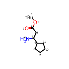 CC(C)(C)OC(=O)C[C@H](N)C1CCCC1